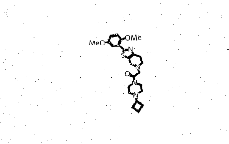 COc1ccc(OC)c(-c2nc3c(s2)CN(CC(=O)N2CCN(C4CCC4)CC2)CC3)c1